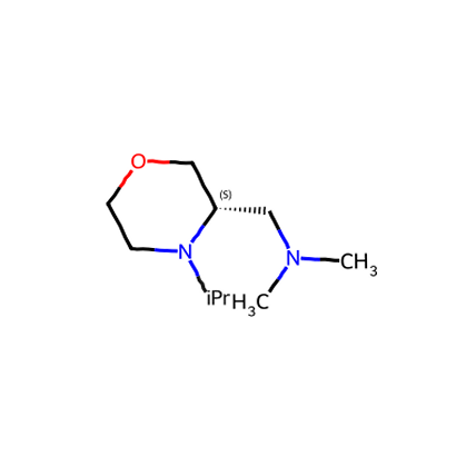 CC(C)N1CCOC[C@@H]1CN(C)C